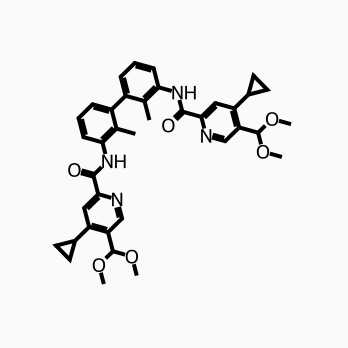 COC(OC)c1cnc(C(=O)Nc2cccc(-c3cccc(NC(=O)c4cc(C5CC5)c(C(OC)OC)cn4)c3C)c2C)cc1C1CC1